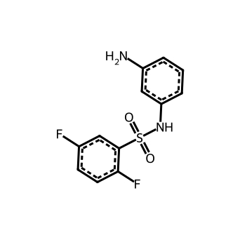 Nc1cccc(NS(=O)(=O)c2cc(F)ccc2F)c1